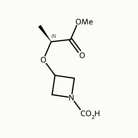 COC(=O)[C@H](C)OC1CN(C(=O)O)C1